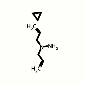 C1CC1.C=CCN(N)CC=C